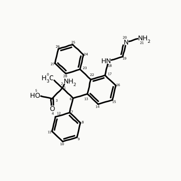 CC(N)(C(=O)O)C(c1ccccc1)c1cccc(NC=NN)c1-c1ccccc1